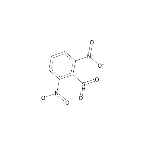 O=[N+]([O-])c1cccc([N+](=O)[O-])c1[SH](=O)=O